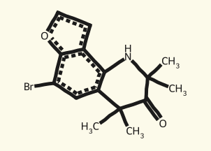 CC1(C)Nc2c(cc(Br)c3occc23)C(C)(C)C1=O